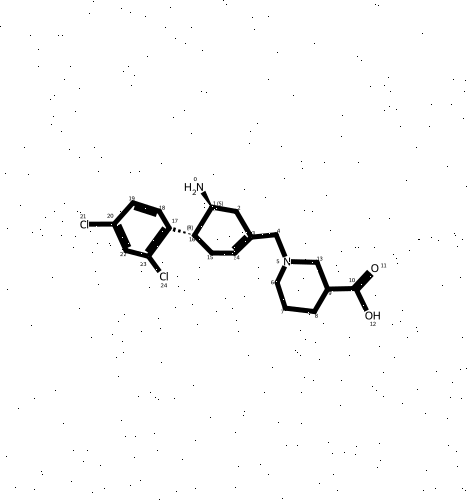 N[C@H]1CC(CN2CCCC(C(=O)O)C2)=CC[C@@H]1c1ccc(Cl)cc1Cl